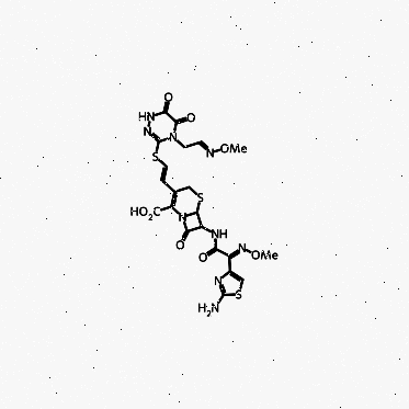 CON=CCn1c(SC=CC2=C(C(=O)O)N3C(=O)C(NC(=O)C(=NOC)c4csc(N)n4)C3SC2)n[nH]c(=O)c1=O